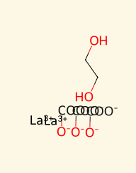 O=C([O-])[O-].O=C([O-])[O-].O=C([O-])[O-].OCCO.[La+3].[La+3]